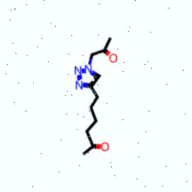 CC(=O)CCCCc1cn(CC(C)=O)nn1